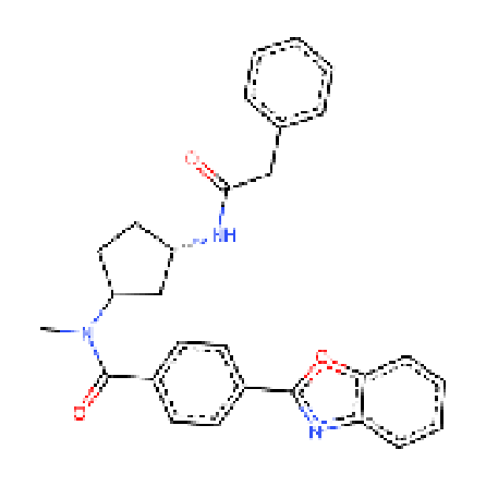 CN(C(=O)c1ccc(-c2nc3ccccc3o2)cc1)C1CC[C@H](NC(=O)Cc2ccccc2)C1